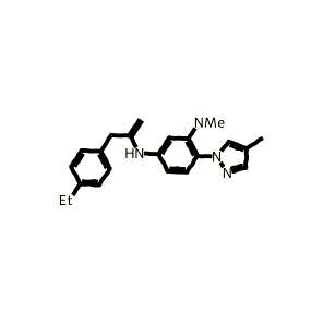 C=C(Cc1ccc(CC)cc1)Nc1ccc(-n2cc(C)cn2)c(NC)c1